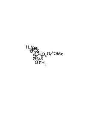 COCCOCOC1CC(C)S(=O)(=O)c2cc(S(N)(=O)=O)sc21